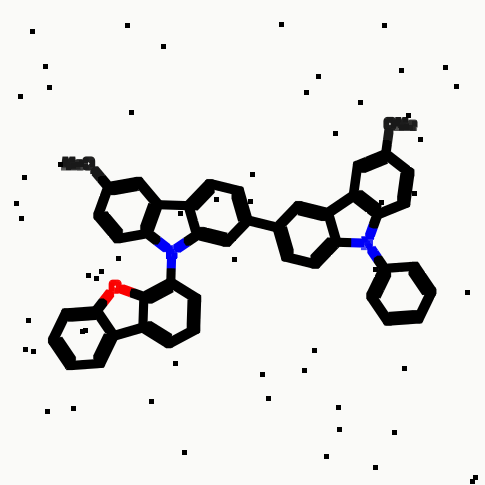 COc1ccc2c(c1)c1cc(-c3ccc4c5cc(OC)ccc5n(-c5cccc6c5oc5ccccc56)c4c3)ccc1n2-c1ccccc1